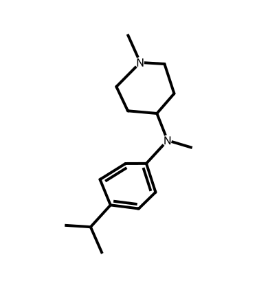 CC(C)c1ccc(N(C)C2CCN(C)CC2)cc1